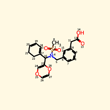 CS(=O)(=O)N(Cc1cccc(CC(=O)O)c1)C(C1=CC=CCC1)C1=COC=CO1